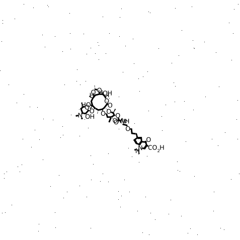 CO[C@]1(C)C[C@H](O[C@H]2[C@H](C)[C@@H](O[C@@H]3O[C@H](C)C[C@H](N(C)C)[C@H]3O)[C@](C)(O)C[C@@H](C)[C@@H]3O[C@H](C)O[C@H]3[C@](C)(O)[C@@H](I)OC(=O)[C@@H]2C)O[C@@H](C)[C@@H]1OC(=O)NCCOCCCc1ccc2c(c1)c(=O)c(C(=O)O)cn2N(C)C